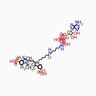 CC[N+]1=C(/C=C/C=C2/N(CCCCCC(=O)NCCCCCCNP(=O)(O)OP(=O)(O)OP(=O)(O)OC[C@H]3O[C@@H](n4cnc5c(N)ncnc54)[C@H](O)[C@@H]3O)c3ccc(S(=O)(=O)O)cc3C2(C)C)C(C)(C)c2cc(S(=O)(=O)O)ccc21